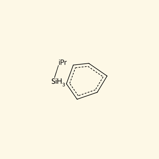 CC(C)[SiH3].c1ccccc1